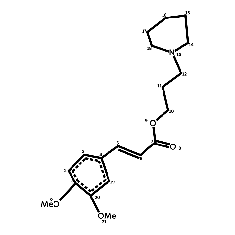 COc1ccc(C=CC(=O)OCCCN2CCCCC2)cc1OC